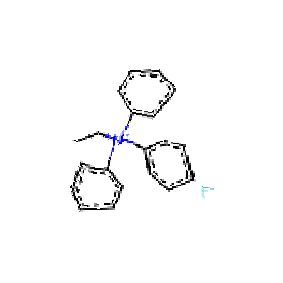 CC[N+](c1ccccc1)(c1ccccc1)c1ccccc1.[F-]